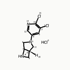 Cl.Clc1cc(N2CC3NC[C@H]3C2)cnc1Cl